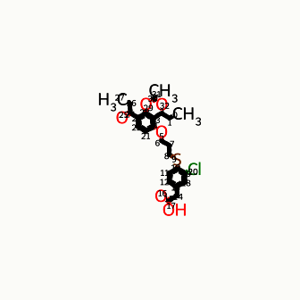 CCCc1c(OCCCSc2ccc(CC(=O)O)cc2Cl)ccc(C(=O)CC)c1OC(C)=O